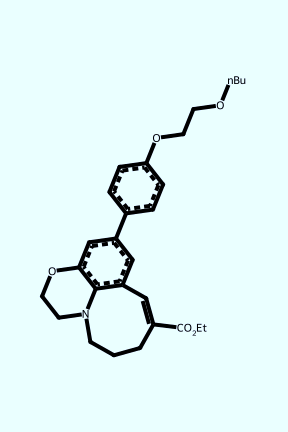 CCCCOCCOc1ccc(-c2cc3c4c(c2)OCCN4CCCC(C(=O)OCC)=C3)cc1